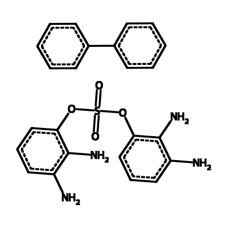 Nc1cccc(OS(=O)(=O)Oc2cccc(N)c2N)c1N.c1ccc(-c2ccccc2)cc1